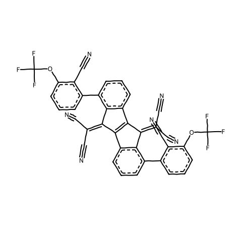 N#CC(C#N)=C1C2=C(C(=C(C#N)C#N)c3c2cccc3-c2cccc(OC(F)(F)F)c2C#N)c2cccc(-c3cccc(OC(F)(F)F)c3C#N)c21